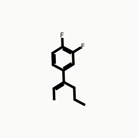 C/C=C(\CCC)c1ccc(F)c(F)c1